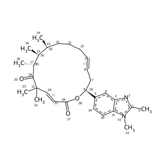 Cc1nc2cc([C@@H]3C/C=C/CCC[C@H](C)[C@H](C)[C@@H](C)C(=O)C(C)(C)/C=C/C(=O)O3)ccc2n1C